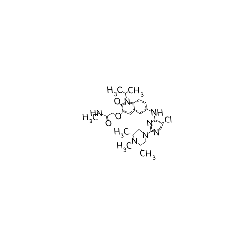 CNC(=O)COc1cc2cc(Nc3nc(N4C[C@@H](C)N(C)[C@@H](C)C4)ncc3Cl)ccc2n(C(C)C)c1=O